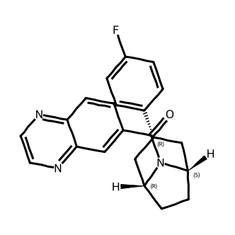 O=C(c1ccc2nccnc2c1)N1[C@@H]2CC[C@H]1C[C@@H](c1ccc(F)cc1)C2